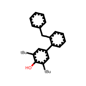 CC(C)(C)c1cc(-c2ccccc2Cc2ccccc2)cc(C(C)(C)C)c1O